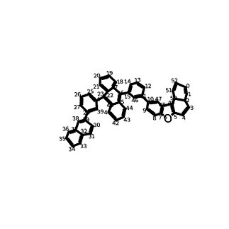 C1=CC2C=Cc3oc4ccc(-c5cccc(-c6c7ccccc7c(-c7cccc(-c8ccc9ccccc9c8)c7)c7ccccc67)c5)cc4c3C2C=C1